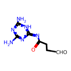 Nc1nc(N)[nH]c(=NC(=O)CCC=O)n1